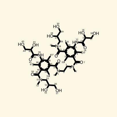 CN(CCN(C)C(=O)c1c(I)c(NC(=O)C(O)CO)c(I)c(C(=O)N(C)CC(O)CO)c1I)C(=O)c1c(I)c(NC(=O)C(O)CO)c(I)c(C(=O)N(C)CC(O)CO)c1I